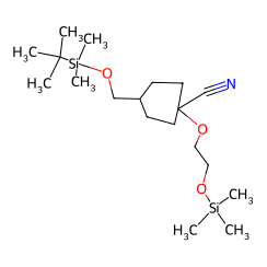 CC(C)(C)[Si](C)(C)OCC1CCC(C#N)(OCCO[Si](C)(C)C)CC1